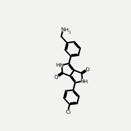 NCc1cccc(C2=C3C(=O)NC(c4ccc(Cl)cc4)=C3C(=O)N2)c1